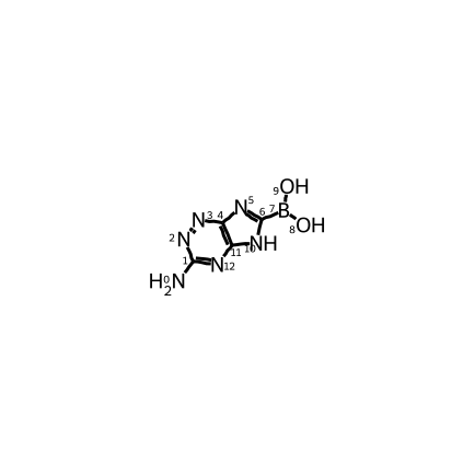 Nc1nnc2nc(B(O)O)[nH]c2n1